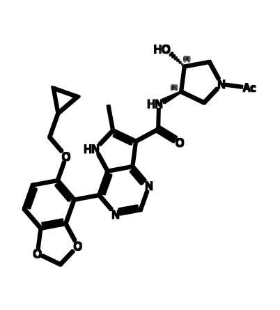 CC(=O)N1C[C@@H](O)[C@H](NC(=O)c2c(C)[nH]c3c(-c4c(OCC5CC5)ccc5c4OCO5)ncnc23)C1